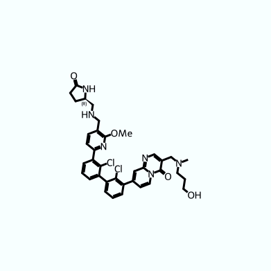 COc1nc(-c2cccc(-c3cccc(-c4ccn5c(=O)c(CN(C)CCCO)cnc5c4)c3Cl)c2Cl)ccc1CNC[C@H]1CCC(=O)N1